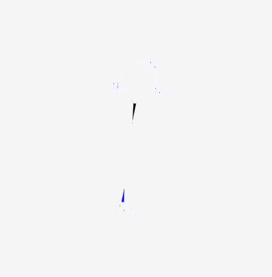 N[C@H]1CC[C@@H](c2ncn[nH]2)CC1